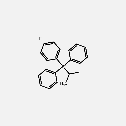 CC(I)[P+](c1ccccc1)(c1ccccc1)c1ccccc1.[I-]